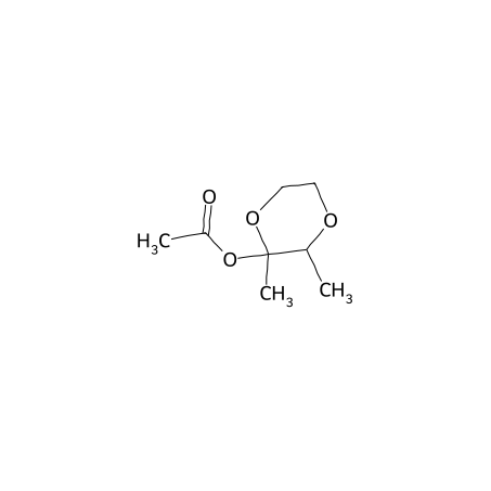 CC(=O)OC1(C)OCCOC1C